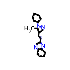 Cc1c(/C=C/c2cnc3ccccc3n2)cnn1-c1ccccc1